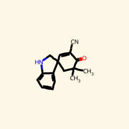 CC1(C)CC2(C=C(C#N)C1=O)CNc1ccccc12